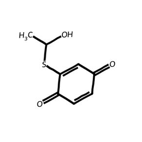 CC(O)SC1=CC(=O)C=CC1=O